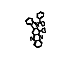 O=C(c1ccccc1)n1c2ccccc2c2cc3nc4ccccc4nc3c(Cl)c21